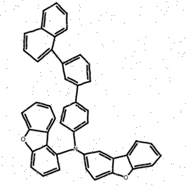 c1cc(-c2ccc(N(c3ccc4oc5ccccc5c4c3)c3cccc4oc5ccccc5c34)cc2)cc(-c2cccc3ccccc23)c1